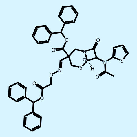 CC(=O)N(c1cccs1)C1C(=O)N2CC(C=NOCC(=O)OC(c3ccccc3)c3ccccc3)(C(=O)OC(c3ccccc3)c3ccccc3)CS[C@H]12